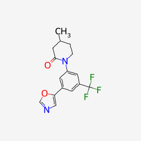 CC1CCN(c2cc(-c3cnco3)cc(C(F)(F)F)c2)C(=O)C1